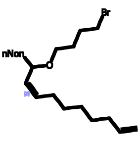 C=CCCCCC/C=C\C(CCCCCCCCC)OCCCCBr